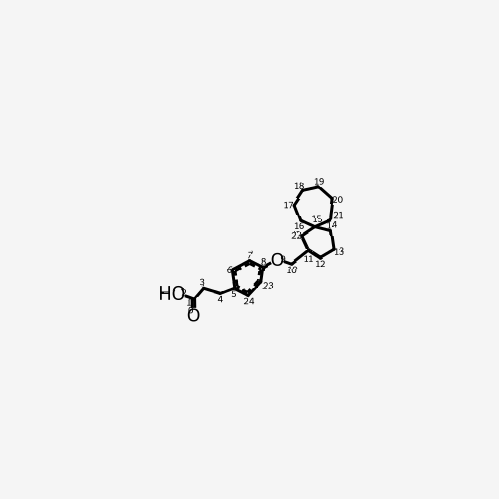 O=C(O)CCc1ccc(OCC2CCCC3(CCCCCC3)C2)cc1